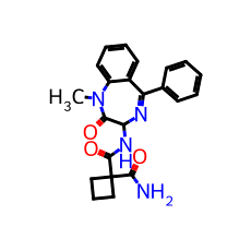 CN1C(=O)C(NC(=O)C2(C(N)=O)CCC2)N=C(c2ccccc2)c2ccccc21